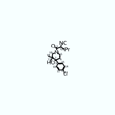 [C-]#[N+]C(C(=O)N1CCC(O)(c2ccc(Cl)cc2)C(C)(C)C1)C(C)C